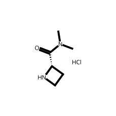 CN(C)C(=O)[C@@H]1CCN1.Cl